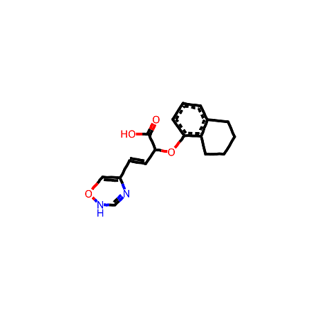 O=C(O)C(C=CC1=CONC=N1)Oc1cccc2c1CCCC2